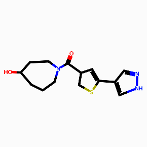 O=C(C1C=C(c2cn[nH]c2)SC1)N1CCCC(O)CC1